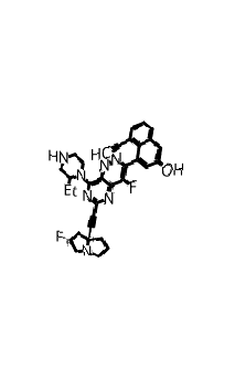 C#Cc1cccc2cc(O)cc(-c3nnc4c(N5CCNCC5CC)nc(C#C[C@@]56CCCN5C[C@H](F)C6)nc4c3F)c12